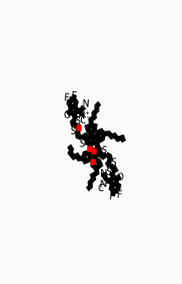 [C-]#[N+]/C(C#N)=C1\C(=c2\cc3s/c(=C/c4cc5c(s4)-c4cc6c(cc4C5(c4ccc(CCCCCC)cc4)c4ccc(CCCCCC)cc4)-c4sc(/C=c5\cc7s/c(=C8/C(=O)c9cc(F)c(F)cc9/C8=C(/C#N)[N+]#[C-])cc7s5)cc4C6(c4ccc(CCCCCC)cc4)c4ccc(CCCCCC)cc4)cc3s2)C(=O)c2cc(F)c(F)cc21